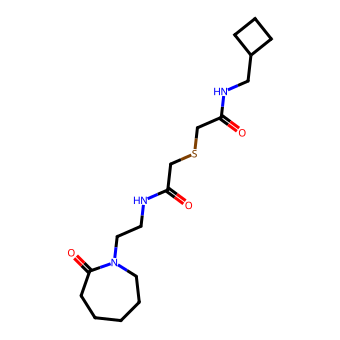 O=C(CSCC(=O)NCC1CCC1)NCCN1CCCCCC1=O